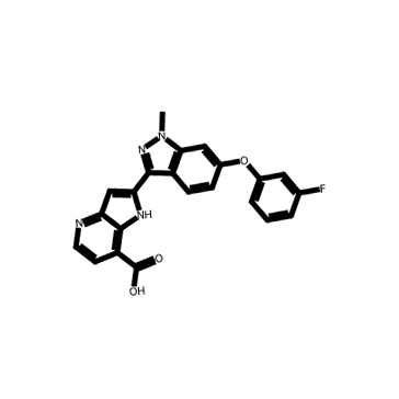 Cn1nc(-c2cc3nccc(C(=O)O)c3[nH]2)c2ccc(Oc3cccc(F)c3)cc21